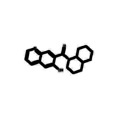 O=C(c1cc2ncccc2cc1O)N1CCCC2CCCCC21